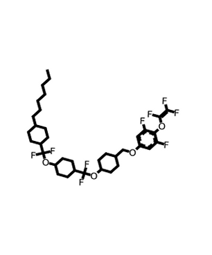 CCCCCCCC1CCC(C(F)(F)OC2CCC(C(F)(F)OC3CCC(COc4cc(F)c(OC(F)=C(F)F)c(F)c4)CC3)CC2)CC1